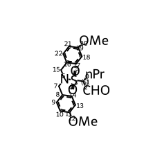 CCC[C@@H](C=O)S(=O)(=O)N(Cc1ccc(OC)cc1)Cc1ccc(OC)cc1